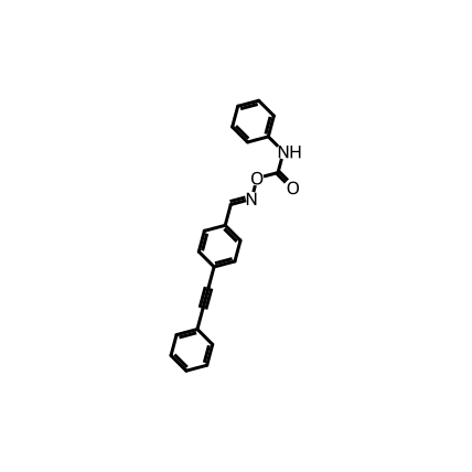 O=C(Nc1ccccc1)ON=Cc1ccc(C#Cc2ccccc2)cc1